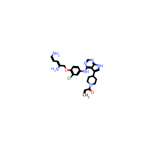 C=CC(=O)N1CCC(c2c[nH]c3ncnc(Nc4ccc(OC/C(N)=C/C=C\N)c(Cl)c4)c23)CC1